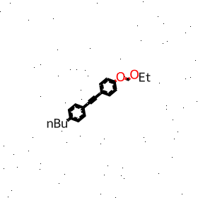 CCCCc1ccc(C#Cc2ccc(OCOCC)cc2)cc1